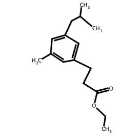 CCOC(=O)CCc1cc(C)cc(CC(C)C)c1